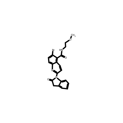 COCCNC(=O)c1c(Br)ccc2nc(N3C(=O)Cc4ccccc43)ccc12